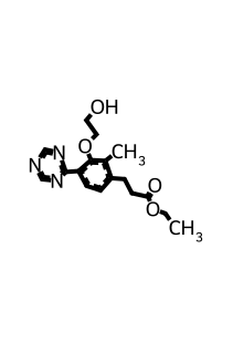 CCOC(=O)CCc1ccc(-c2ncncn2)c(OCCO)c1C